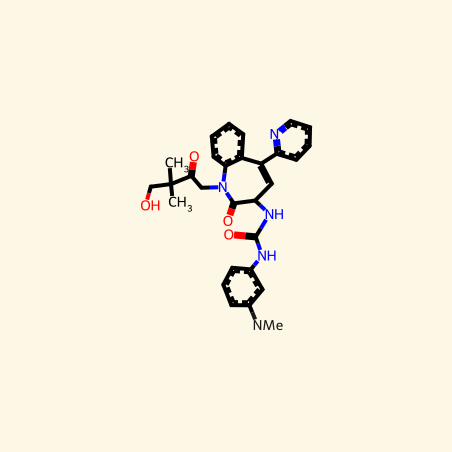 CNc1cccc(NC(=O)NC2C=C(c3ccccn3)c3ccccc3N(CC(=O)C(C)(C)CO)C2=O)c1